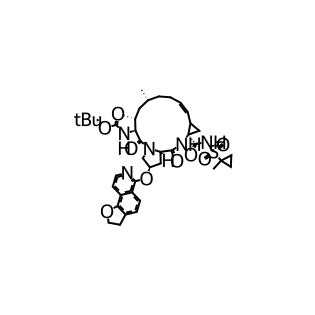 C[C@@H]1CC/C=C\C2C[C@@]2(C(=O)NS(=O)(=O)C2(C)CC2)NC(=O)[C@@H]2C[C@@H](Oc3nccc4c5c(ccc34)CCO5)CN2C(=O)[C@@H](NC(=O)OC(C)(C)C)[C@H](C)C1